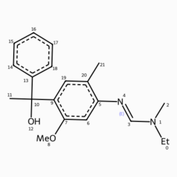 CCN(C)/C=N/c1cc(OC)c(C(C)(O)c2ccccc2)cc1C